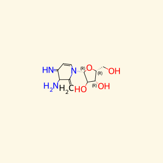 C=C1C(N)C(=N)C=CN1[C@@H]1O[C@H](CO)[C@H](O)C1O